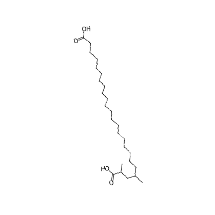 CC(CCCCCCCCCCCCCCCCCCCC(=O)O)CC(C)C(=O)O